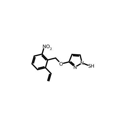 C=Cc1cccc([N+](=O)[O-])c1COc1ccn(S)n1